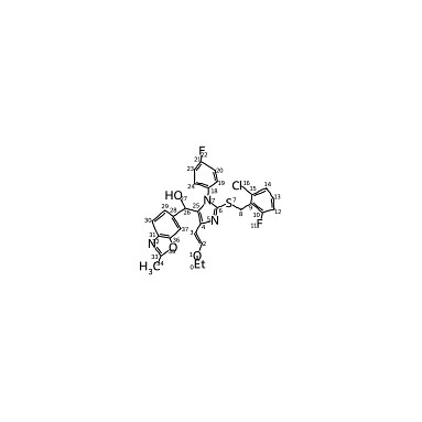 CCOC=Cc1nc(SCc2c(F)cccc2Cl)n(-c2ccc(F)cc2)c1C(O)c1ccc2nc(C)oc2c1